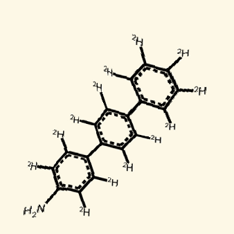 [2H]c1c([2H])c([2H])c(-c2c([2H])c([2H])c(-c3c([2H])c([2H])c(N)c([2H])c3[2H])c([2H])c2[2H])c([2H])c1[2H]